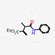 C=C(C(=O)OCC)C(C)C(=O)Nc1ccccc1